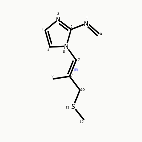 C=Nc1nccn1/C=C(\C)CSC